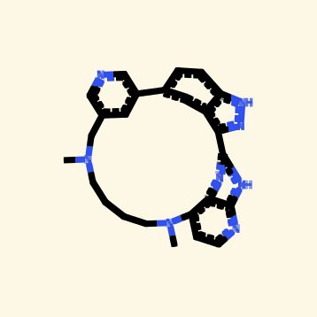 CN1CCCCN(C)c2ccnc3[nH]c(nc23)-c2n[nH]c3ccc(cc23)-c2cncc(c2)C1